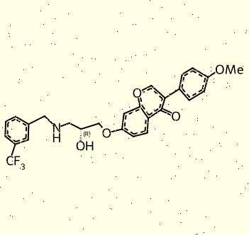 COc1ccc(-c2coc3cc(OC[C@H](O)CNCc4cccc(C(F)(F)F)c4)ccc3c2=O)cc1